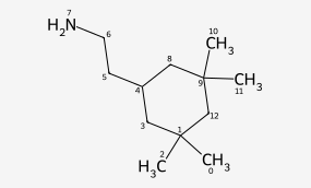 CC1(C)CC(CCN)CC(C)(C)C1